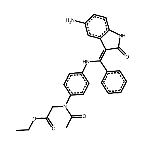 CCOC(=O)CN(C(C)=O)c1ccc(NC(=C2C(=O)Nc3ccc(N)cc32)c2ccccc2)cc1